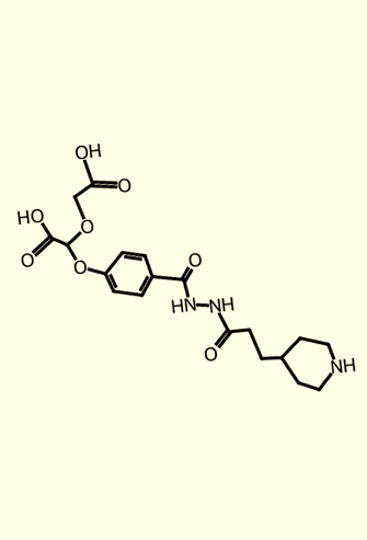 O=C(O)COC(Oc1ccc(C(=O)NNC(=O)CCC2CCNCC2)cc1)C(=O)O